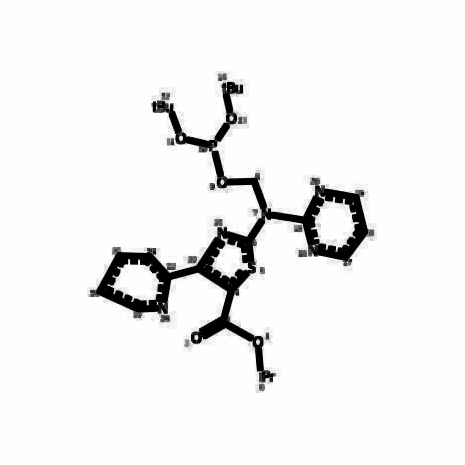 CC(C)OC(=O)c1sc(N(COP(OC(C)(C)C)OC(C)(C)C)c2ncccn2)nc1-c1ccccn1